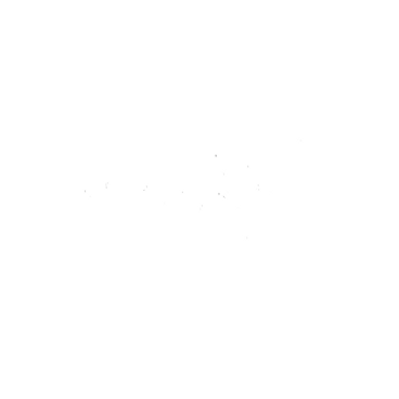 CCC(C)SC1CC(=O)N(CCCCCC=O)C1=O